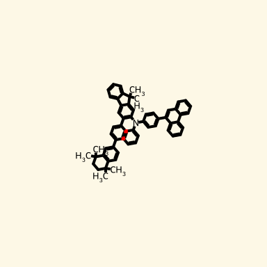 CC1(C)CCC(C)(C)c2cc(-c3ccc(-c4cc5c(cc4N(c4ccccc4)c4ccc(-c6cc7ccccc7c7ccccc67)cc4)C(C)(C)c4ccccc4-5)cc3)ccc21